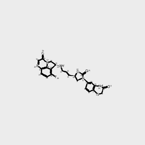 O=C1CSc2ccc(N3C[C@@H](CCCN[C@H]4Cn5c(=O)cnc6ccc(F)c4c65)OC3=O)cc2N1